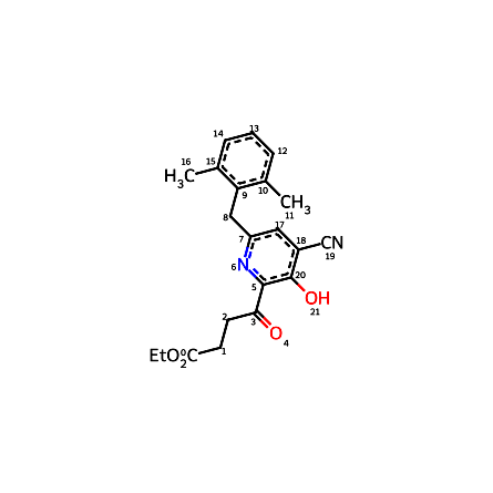 CCOC(=O)CCC(=O)c1nc(Cc2c(C)cccc2C)cc(C#N)c1O